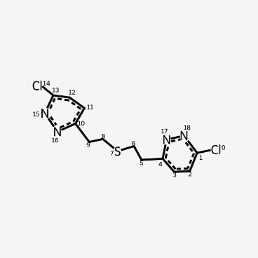 Clc1ccc(CCSCCc2ccc(Cl)nn2)nn1